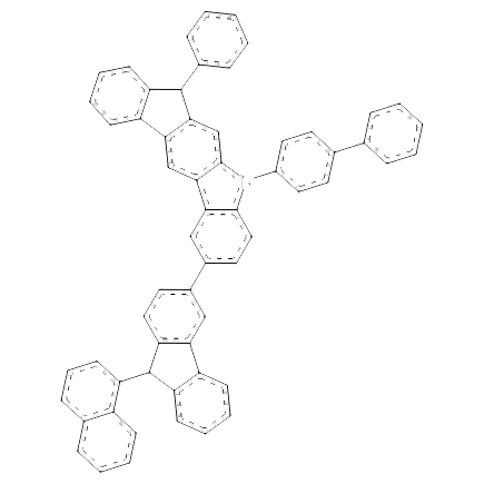 c1ccc(-c2ccc(-n3c4ccc(-c5ccc6c(c5)-c5ccccc5C6c5cccc6ccccc56)cc4c4cc5c(cc43)C(c3ccccc3)c3ccccc3-5)cc2)cc1